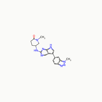 CN1CC(Nc2ncc3c(-c4ccc5nnn(C)c5c4)c[nH]c3n2)CCC1=O